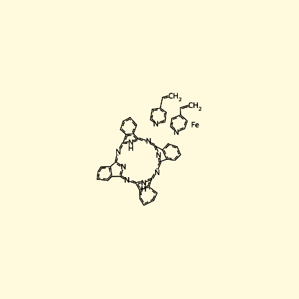 C=Cc1ccncc1.C=Cc1ccncc1.[Fe].c1ccc2c(c1)-c1nc-2nc2[nH]c(nc3nc(nc4[nH]c(n1)c1ccccc41)-c1ccccc1-3)c1ccccc21